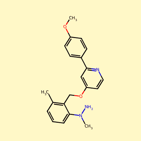 COc1ccc(-c2cc(OCc3c(C)cccc3N(C)N)ccn2)cc1